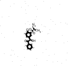 CN(C)S(=O)(=O)c1cc(C(S)C(=O)c2ccccc2)ccc1Cl